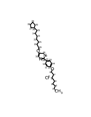 CCCCC[C@H](Cl)CCOc1ccc(-c2ncc(OCCCCCCCC3CCCC3)cn2)cc1